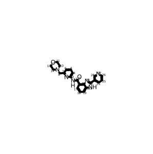 O=C(Nc1cccc(CN2CCOCC2)n1)c1cccc2[nH]c(-c3cccnc3)nc12